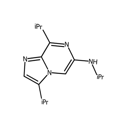 CC(C)Nc1cn2c(C(C)C)cnc2c(C(C)C)n1